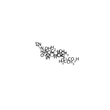 CC(C)C1=C2[C@H]3CC[C@@H]4[C@@]5(C)CC[C@H](OC(=O)CC(C)(C)C(=O)O)C(C)(C)[C@@H]5CC[C@@]4(C)[C@]3(C)CC[C@@]2([C@@H](O)CNCc2cscn2)CC1=O